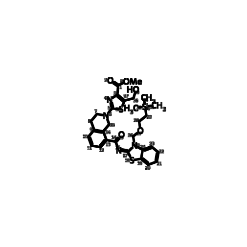 COC(=O)c1nc(N2CCc3cccc(C(=O)/N=c4/sc5ccccc5n4COCC[Si](C)(C)C)c3C2)sc1CO